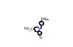 COc1ccc(CN2CCC(C(=O)O)=Cc3cc(Br)ccc32)cc1